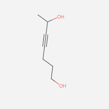 CC(O)C#CCCCO